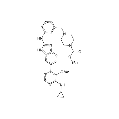 COc1c(NC2CC2)ncnc1-c1ccc2nc(Nc3cc(CN4CCN(C(=O)OC(C)(C)C)CC4)ccn3)[nH]c2c1